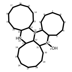 ON1C2CCCCCCCC2B2C3CCCCCCCCC3NC3CCCCCCCC1C23